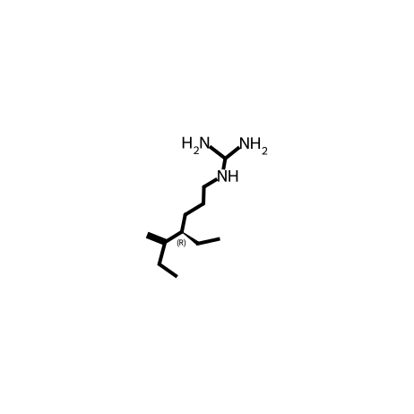 C=C(CC)[C@H](CC)CCCNC(N)N